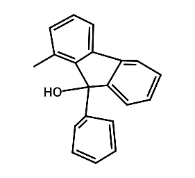 Cc1cccc2c1C(O)(c1ccccc1)c1ccccc1-2